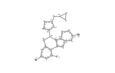 Fc1cc(Br)cc2c1-c1cc3cc(Br)ccc3n1C(c1ccc(CC3CC3)s1)O2